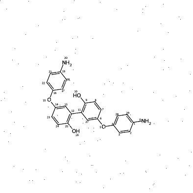 Nc1ccc(Oc2ccc(O)c(-c3cc(Oc4ccc(N)cc4)ccc3O)c2)cc1